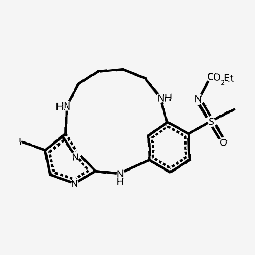 CCOC(=O)N=S(C)(=O)c1ccc2cc1NCCCCNc1nc(ncc1I)N2